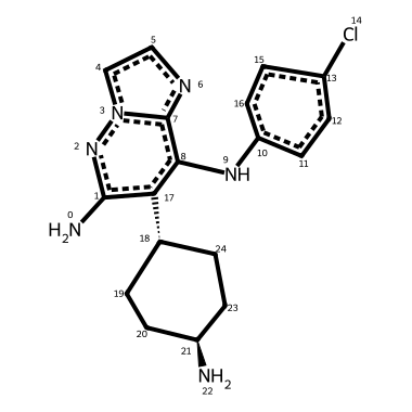 Nc1nn2ccnc2c(Nc2ccc(Cl)cc2)c1[C@H]1CC[C@H](N)CC1